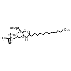 CCCCCCCCCCCCCCCCCCCCCC(=O)N[C@@H](CCCNC(=N)N)C(=O)N(CCCCCCC)CCCCCCC